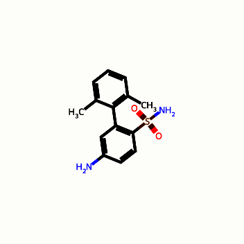 Cc1cccc(C)c1-c1cc(N)ccc1S(N)(=O)=O